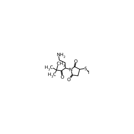 CC(C)(C)C(=O)C(CCN)N1C(=O)CC(SI)C1=O